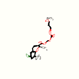 Cc1cc(Cl)cc2c1OC(C(F)(F)F)C(C(=O)OCOC(=O)OCCCO[N+](=O)[O-])=C2